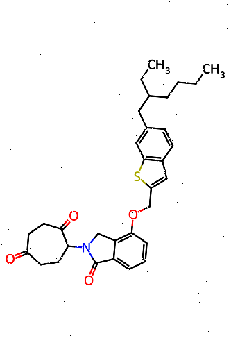 CCCCC(CC)Cc1ccc2cc(COc3cccc4c3CN(C3CCC(=O)CCC3=O)C4=O)sc2c1